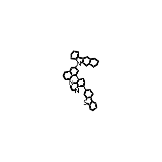 c1ccc2cc3c(cc2c1)c1ccccc1n3-c1cc(-c2ccc(-c3ccc4c(c3)sc3ccccc34)c3nccnc23)c2ccccc2c1